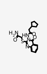 NC(=O)CSc1nc2ccccc2c(=O)n1NC(=O)CC1CCCC1